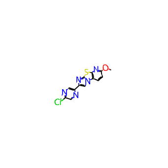 COc1ccc2c(n1)sc1nc(-c3cnc(Cl)cn3)cn12